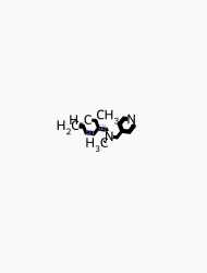 C=C/C=C\C(=C/N(C)Cc1ccncc1)C(C)C